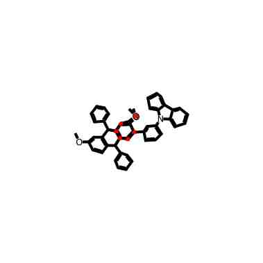 COc1ccc2c(c1)C1(c3ccccc3)c3cc(OC)ccc3C2(c2ccccc2)c2cc(-c3cccc(-n4c5ccccc5c5ccccc54)c3)c(OC)cc21